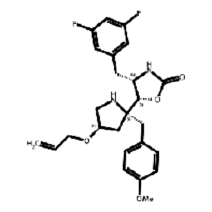 C=CCO[C@H]1CN[C@@](Cc2ccc(OC)cc2)([C@H]2OC(=O)N[C@H]2Cc2cc(F)cc(F)c2)C1